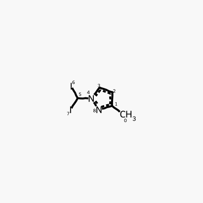 Cc1ccn(C(I)I)n1